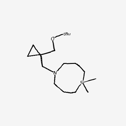 CC(C)(C)OCC1(CN2CCC[Si](C)(C)CCC2)CC1